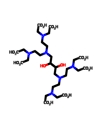 O=C(O)CN(CCN(CCN(CC(=O)O)CC(=O)O)CC(O)C(O)CN(CCN(CC(=O)O)CC(=O)O)CCN(CC(=O)O)CC(=O)O)CC(=O)O